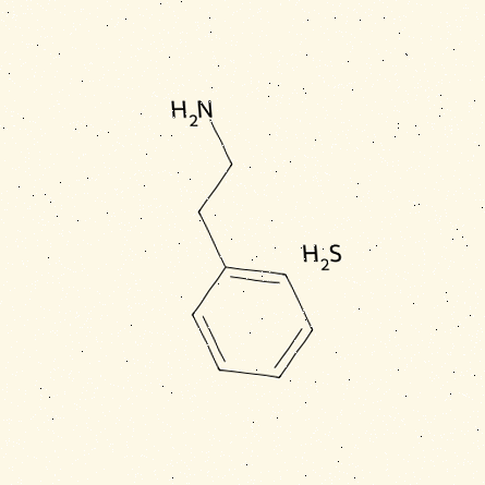 NCCc1ccccc1.S